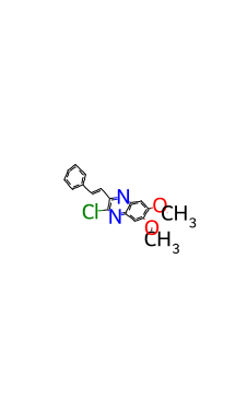 COc1cc2nc(Cl)c(/C=C/c3ccccc3)nc2cc1OC